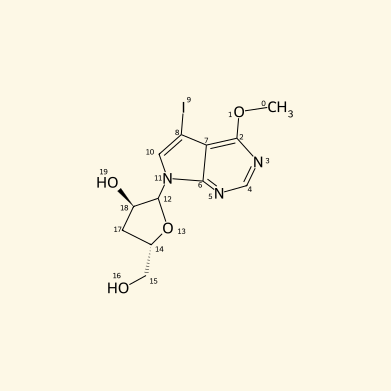 COc1ncnc2c1c(I)cn2C1O[C@H](CO)C[C@H]1O